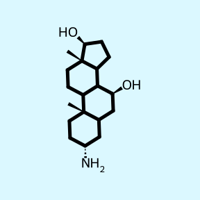 C[C@]12CC[C@@H](N)CC1C[C@H](O)C1C2CC[C@@]2(C)C1CC[C@@H]2O